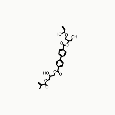 C=CC(O)OCC(CO)OC(=O)c1ccc(-c2ccc(C(=O)OCC(O)COC(=O)C(=C)C)cc2)cc1